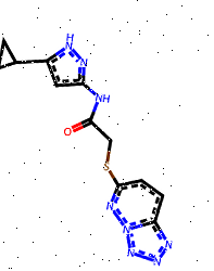 O=C(CSc1ccc2nnnn2n1)Nc1cc(C2CC2)[nH]n1